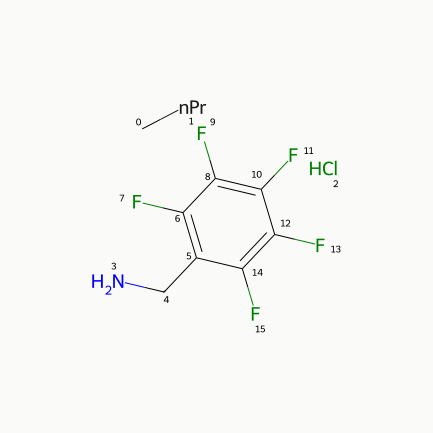 CCCC.Cl.NCc1c(F)c(F)c(F)c(F)c1F